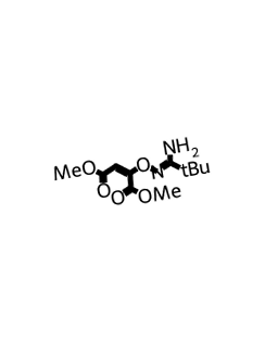 COC(=O)/C=C(/ON=C(N)C(C)(C)C)C(=O)OC